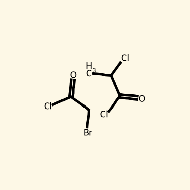 CC(Cl)C(=O)Cl.O=C(Cl)CBr